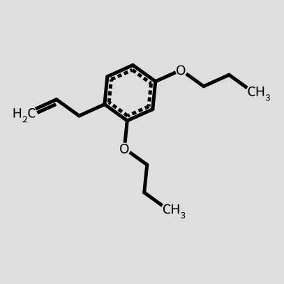 C=CCc1ccc(OCCC)cc1OCCC